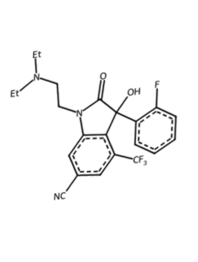 CCN(CC)CCN1C(=O)C(O)(c2ccccc2F)c2c1cc(C#N)cc2C(F)(F)F